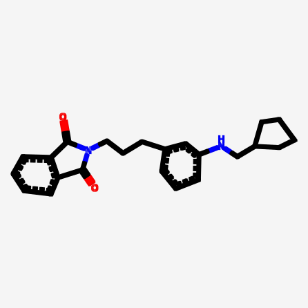 O=C1c2ccccc2C(=O)N1CCCc1cccc(NCC2CCCC2)c1